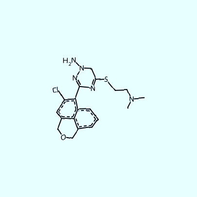 CN(C)CCSC1=NC(c2c(Cl)cc3c4c(cccc24)COC3)=NN(N)C1